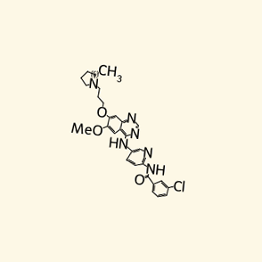 COc1cc2c(Nc3ccc(NC(=O)c4cccc(Cl)c4)nc3)ncnc2cc1OCCCN1CCC[C@@H]1C